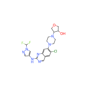 OC1COCC1N1CCN(c2cc3nc(Nc4cnn(C(F)F)c4)ncc3cc2Cl)CC1